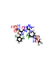 Cn1ncc(NC(=O)c2nc(-c3c(F)cccc3F)sc2NC(=O)O)c1N1CC[C@](C)(NC(=O)OC(C)(C)C)CC(F)(F)C1